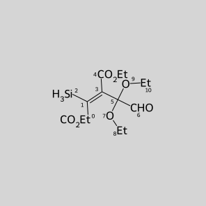 CCOC(=O)C([SiH3])=C(C(=O)OCC)C(C=O)(OCC)OCC